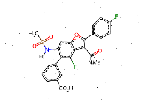 CCN(c1cc2oc(-c3ccc(F)cc3)c(C(=O)NC)c2c(F)c1-c1cccc(C(=O)O)c1)S(C)(=O)=O